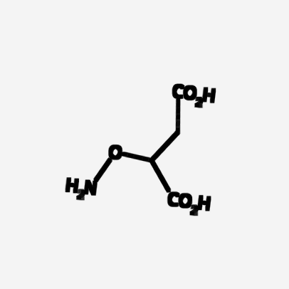 NOC(CC(=O)O)C(=O)O